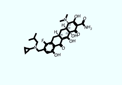 CC(C)CN(Cc1cc(O)c2c(c1F)C[C@H]1C[C@H]3[C@H](N(C)C)C(O)=C(C(N)=O)C(=O)[C@@]3(O)C(O)=C1C2=O)C1CC1